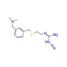 CN/C(=N/CCSCc1cccc(CN(C)C)c1)NC#N